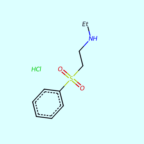 CCNCCS(=O)(=O)c1ccccc1.Cl